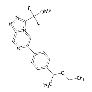 COC(F)(F)c1nnc2cnc(-c3ccc(C(C)OCC(F)(F)F)cc3)cn12